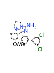 COc1cccc(C2(c3cccc(-c4cc(Cl)cc(Cl)c4)c3)N=C(N)N3CCCN=C32)c1